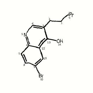 CC(C)CCc1cnc2ccc(Br)cc2c1O